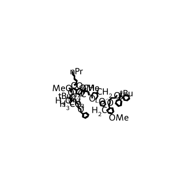 C=C1C[C@H](C[C@@H]2CC(=C)C[C@H](/C=C/C(C)(C)[C@]3(OC)O[C@H](C[C@@H](O[Si](C)(C)C(C)(C)C)[C@@H](C)OCOCc4ccccc4)C/C(=C\C(=O)OC)[C@@H]3OC(=O)/C=C/C=C/CCC)O2)O[C@H](C[C@H](CCO[Si](c2ccccc2)(c2ccccc2)C(C)(C)C)OCc2ccc(OC)cc2)C1